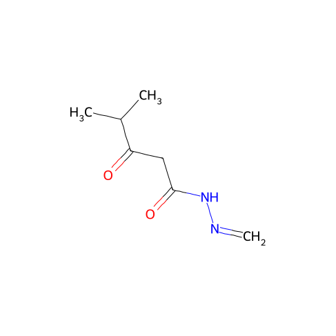 C=NNC(=O)CC(=O)C(C)C